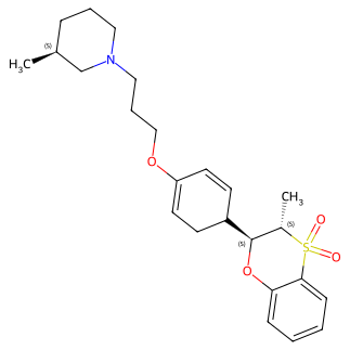 C[C@H]1CCCN(CCCOC2=CCC([C@@H]3Oc4ccccc4S(=O)(=O)[C@H]3C)C=C2)C1